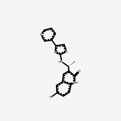 C[C@@H](Nc1nc(-c2cccnc2)cs1)c1cc2cc(Cl)ccc2[nH]c1=O